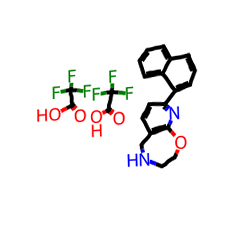 O=C(O)C(F)(F)F.O=C(O)C(F)(F)F.c1ccc2c(-c3ccc4c(n3)OCCNC4)cccc2c1